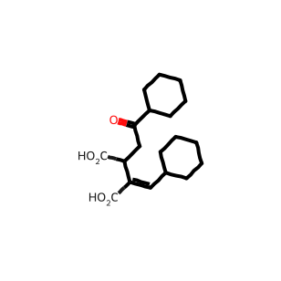 O=C(O)C(=CC1CCCCC1)C(CC(=O)C1CCCCC1)C(=O)O